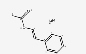 CC(=O)OC=Cc1ccccc1.[LiH]